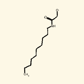 CCCCCCCCCCNC(=O)C[O]